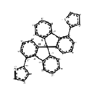 c1csc(-c2cccc3c2-c2ccccc2C32c3ccccc3-c3c(-c4cccs4)cccc32)c1